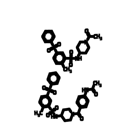 CC(=O)N1CCC(NS(=O)(=O)c2cc(S(=O)(=O)c3ccccc3)ccc2C)CC1.CC(=O)Nc1ccc(C(=O)N2CCC(NS(=O)(=O)c3cc(S(=O)(=O)c4ccccc4)ccc3C)CC2)cc1